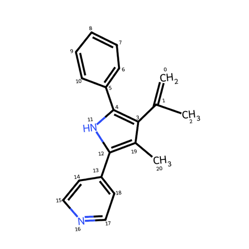 C=C(C)c1c(-c2ccccc2)[nH]c(-c2ccncc2)c1C